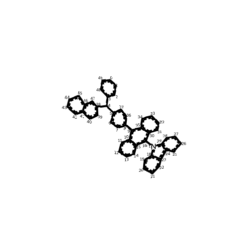 c1ccc(C(c2ccc(-c3c4ccccc4c(-n4c5ccccc5c5ccccc54)c4ccccc34)cc2)c2ccc3ccccc3c2)cc1